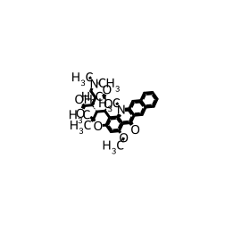 COc1cc2c(c3c1c(=O)c1cc4ccccc4cc1n3C)[C@@H](OC(C)=O)[C@@H](C(CCN(C)C)C(=O)O)C(C)(C)O2